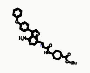 CC(C)(C)OC(=O)N1CCC(NC(=O)/C=C/c2cnc(N)c3c(-c4ccc(Oc5ccccc5)cc4)csc23)CC1